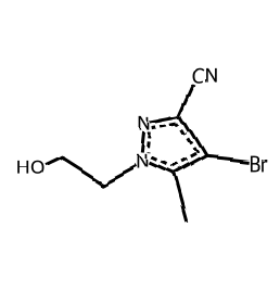 Cc1c(Br)c(C#N)nn1CCO